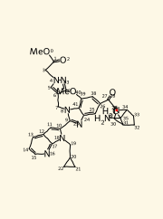 COC(=O)Cn1cc(Cn2c(-c3cc4cccnc4n3CC3CC3)nc3cc(C(=O)N4CC5CCC4C5(C)N)cc(OC)c32)cn1